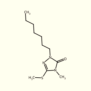 CCCCCCCn1nc(SC)n(C)c1=O